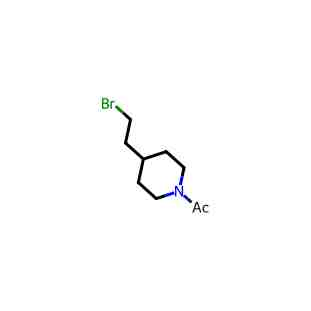 CC(=O)N1CCC(CCBr)CC1